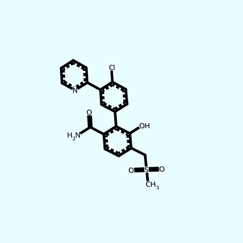 CS(=O)(=O)Cc1ccc(C(N)=O)c(-c2ccc(Cl)c(-c3ccccn3)c2)c1O